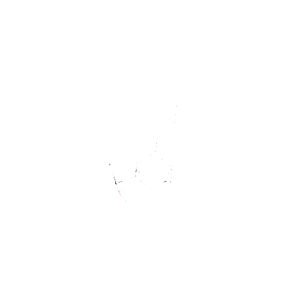 OCCOc1c[c]cc(C2(O)COC2)n1